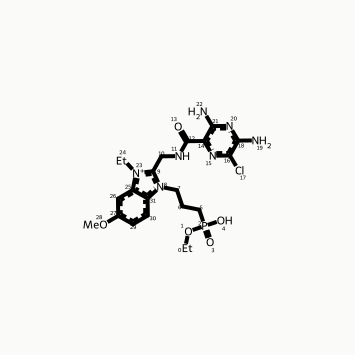 CCOP(=O)(O)CCCn1c(CNC(=O)c2nc(Cl)c(N)nc2N)[n+](CC)c2cc(OC)ccc21